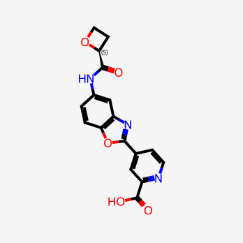 O=C(O)c1cc(-c2nc3cc(NC(=O)[C@@H]4CCO4)ccc3o2)ccn1